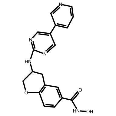 O=C(NO)c1ccc2c(c1)CC(Nc1ncc(-c3cccnc3)cn1)CO2